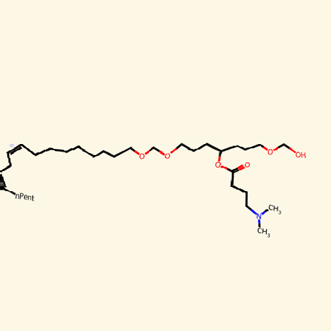 CCCCC/C=C\C/C=C\CCCCCCCCOCOCCCC(CCCOCO)OC(=O)CCCN(C)C